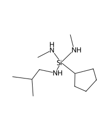 CN[Si](NC)(NCC(C)C)C1CCCC1